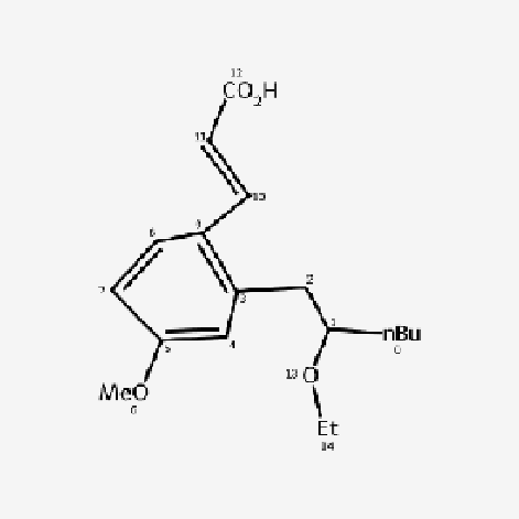 CCCCC(Cc1cc(OC)ccc1C=CC(=O)O)OCC